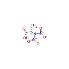 C[C@@H](C(=O)O)N([N+](=O)[O-])[N+](=O)[O-]